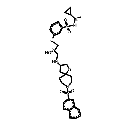 C[C@@H](NS(=O)(=O)c1cccc(OC[C@@H](O)CNC2COC3(CCN(S(=O)(=O)c4ccc5ccccc5c4)CC3)C2)c1)C1CC1